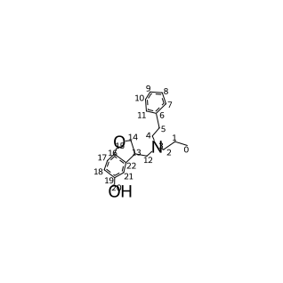 CCCN(CCc1ccccc1)CC1COc2ccc(O)cc21